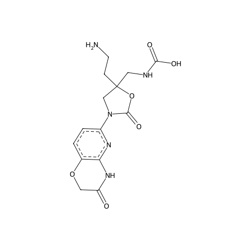 NCCC1(CNC(=O)O)CN(c2ccc3c(n2)NC(=O)CO3)C(=O)O1